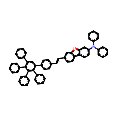 C(=C\c1ccc2c(c1)oc1cc(N(c3ccccc3)c3ccccc3)ccc12)/c1ccc(-c2cc(-c3ccccc3)c(-c3ccccc3)c(-c3ccccc3)c2-c2ccccc2)cc1